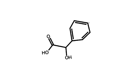 O=C(O)C(O)c1cc[c]cc1